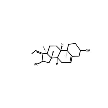 CC=C1C(O)C[C@H]2[C@@H]3CC=C4CC(O)CC[C@]4(C)[C@H]3CC[C@]12C